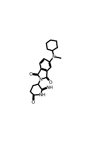 CN(c1ccc2c(c1)C(=O)N(C1CCC(=O)NC1=N)C2=O)C1CCCCC1